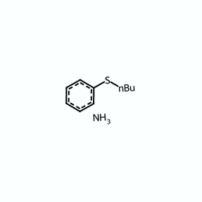 CCCCSc1ccccc1.N